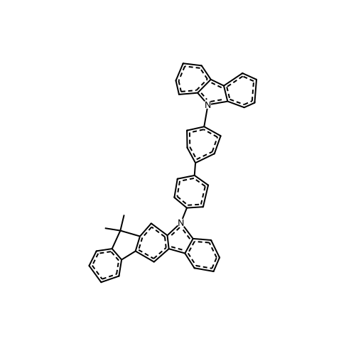 CC1(C)c2ccccc2-c2cc3c4ccccc4n(-c4ccc(-c5ccc(-n6c7ccccc7c7ccccc76)cc5)cc4)c3cc21